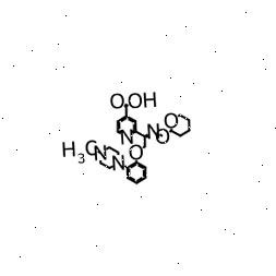 CN1CCN(c2ccccc2OC/C(=N\OC2CCCCO2)c2cc(C(=O)O)ccn2)CC1